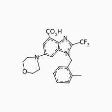 Cc1ccccc1Cn1c(C(F)(F)F)nc2c(C(=O)O)cc(N3CCOCC3)cc21